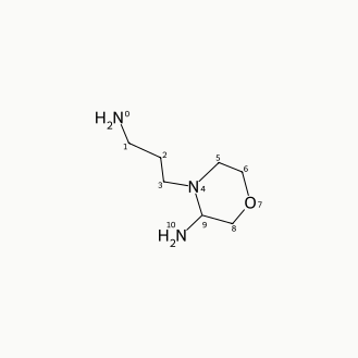 NCCCN1CCOCC1N